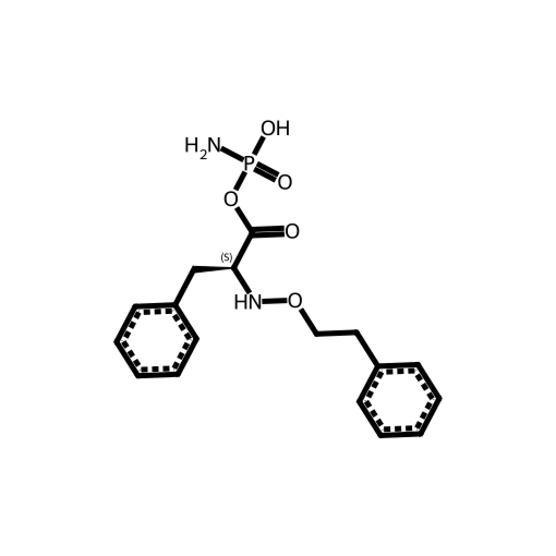 NP(=O)(O)OC(=O)[C@H](Cc1ccccc1)NOCCc1ccccc1